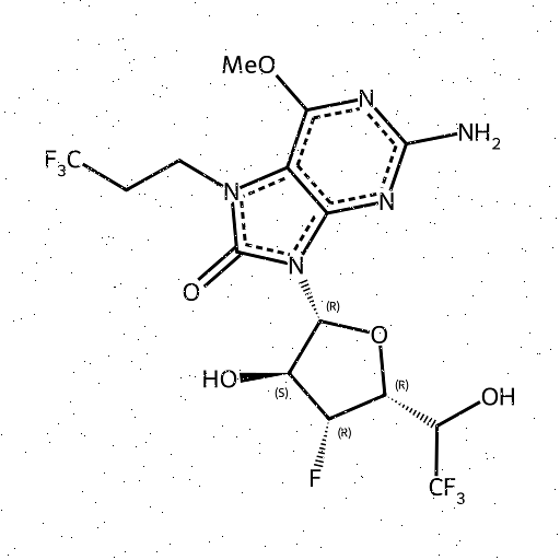 COc1nc(N)nc2c1n(CCC(F)(F)F)c(=O)n2[C@@H]1O[C@H](C(O)C(F)(F)F)[C@H](F)[C@H]1O